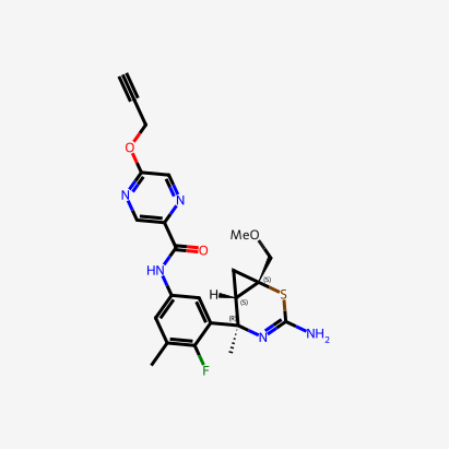 C#CCOc1cnc(C(=O)Nc2cc(C)c(F)c([C@]3(C)N=C(N)S[C@@]4(COC)C[C@H]43)c2)cn1